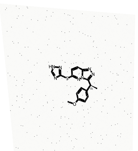 COc1ccc([C@H](C)c2nnc3ccc(Sc4nc[nH]n4)nn23)cc1